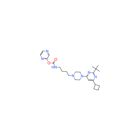 CC(C)(C)c1nc(C2CCC2)cc(N2CCN(CCCCNC(=O)Oc3cnccn3)CC2)n1